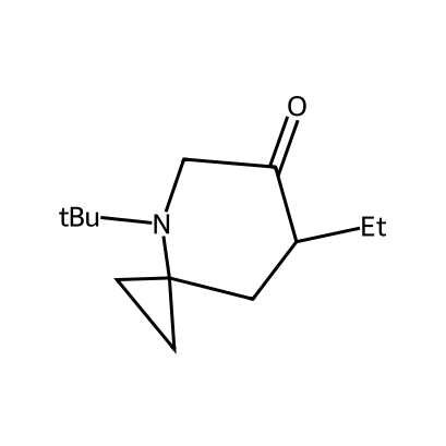 CCC1CC2(CC2)N(C(C)(C)C)CC1=O